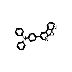 c1ccc(N(c2ccccc2)c2ccc(-c3cnc4oc5ncccc5c4c3)cc2)cc1